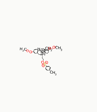 COCOc1ccc2c(c1)C[C@@H](CCCOS(=O)(=O)c1ccc(C)cc1)[C@@H]1[C@@H]2CC[C@]2(C)[C@@H](OCOC)CC[C@@H]12